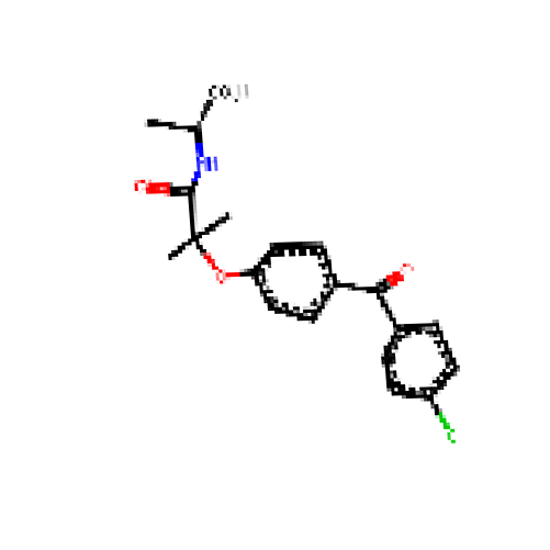 C[C@H](NC(=O)C(C)(C)Oc1ccc(C(=O)c2ccc(Cl)cc2)cc1)C(=O)O